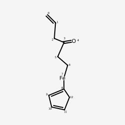 C=CCC(=O)C[CH2][Fe][C]1=CC=CC1